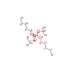 CCCCCO[Si](OCCCCC)(OC(C)C)OC(C)C